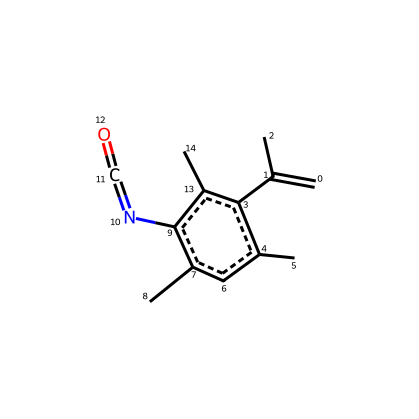 C=C(C)c1c(C)cc(C)c(N=C=O)c1C